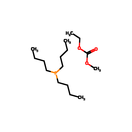 CCCCP(CCCC)CCCC.CCOC(=O)OC